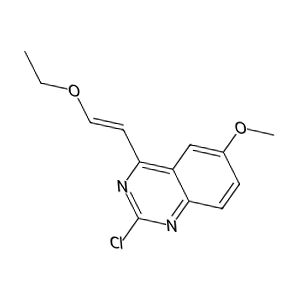 CCOC=Cc1nc(Cl)nc2ccc(OC)cc12